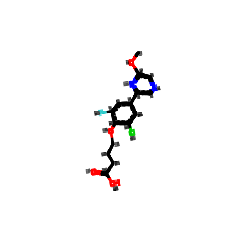 COc1cncc(-c2cc(F)c(OCCCC(=O)O)c(Cl)c2)n1